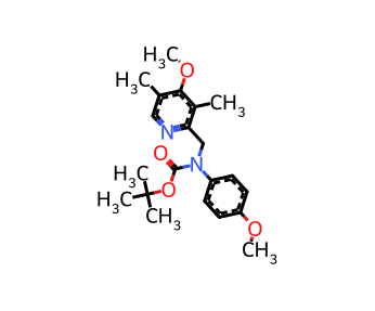 COc1ccc(N(Cc2ncc(C)c(OC)c2C)C(=O)OC(C)(C)C)cc1